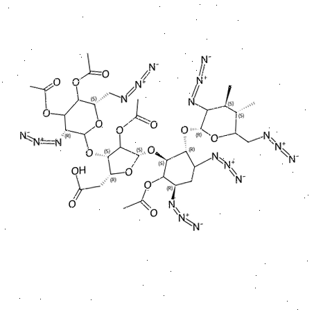 CC(=O)OC1C(OC(C)=O)[C@H](CN=[N+]=[N-])OC(O[C@@H]2C(OC(C)=O)[C@H](O[C@@H]3C(OC(C)=O)[C@H](N=[N+]=[N-])CC(N=[N+]=[N-])[C@H]3O[C@H]3OC(CN=[N+]=[N-])[C@@H](C)[C@H](C)C3N=[N+]=[N-])O[C@@H]2CC(=O)O)[C@@H]1N=[N+]=[N-]